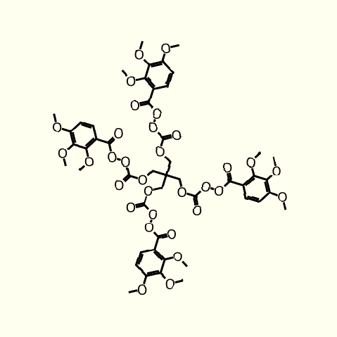 COc1ccc(C(=O)OOC(=O)OCC(COC(=O)OOC(=O)c2ccc(OC)c(OC)c2OC)(COC(=O)OOC(=O)c2ccc(OC)c(OC)c2OC)COC(=O)OOC(=O)c2ccc(OC)c(OC)c2OC)c(OC)c1OC